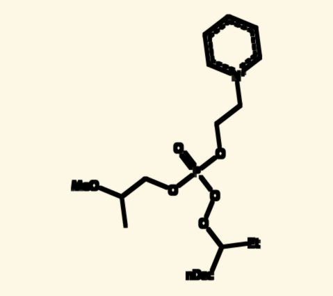 CCCCCCCCCCC(CC)OOP(=O)(OCC[n+]1ccccc1)OCC(C)OC